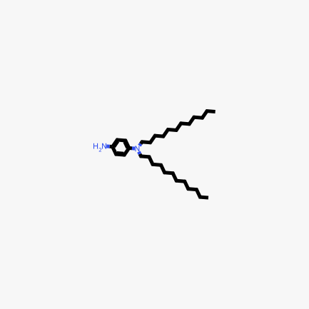 CCCCCCCCCCCCN(CCCCCCCCCCCC)c1ccc(N)cc1